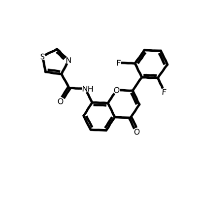 O=C(Nc1cccc2c(=O)cc(-c3c(F)cccc3F)oc12)c1cscn1